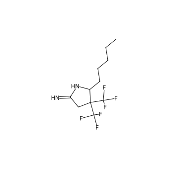 CCCCCC1NC(=N)CC1(C(F)(F)F)C(F)(F)F